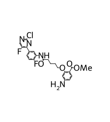 COC(=O)c1ccc(N)cc1OCCCCC(=O)Nc1cc(-c2nc(Cl)ncc2F)ccc1F